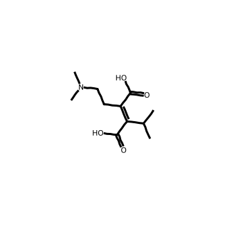 CC(C)C(C(=O)O)=C(CCN(C)C)C(=O)O